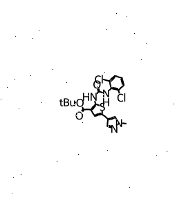 Cn1cc(-c2cc(C(=O)OC(C)(C)C)c(NC(=O)Nc3c(Cl)cccc3Cl)s2)cn1